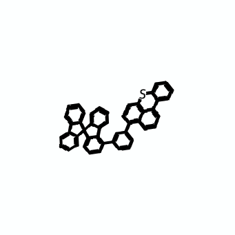 c1cc(-c2cccc3c2-c2ccccc2C32c3ccccc3-c3ccccc32)cc(-c2ccc3c4c(cccc24)-c2ccccc2S3)c1